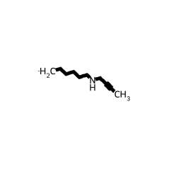 [CH2]CCCCCNCC#CC